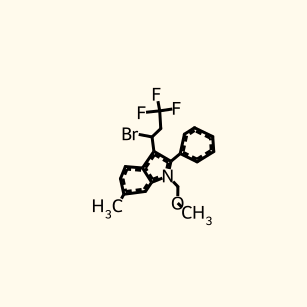 COCn1c(-c2ccccc2)c(C(Br)CC(F)(F)F)c2ccc(C)cc21